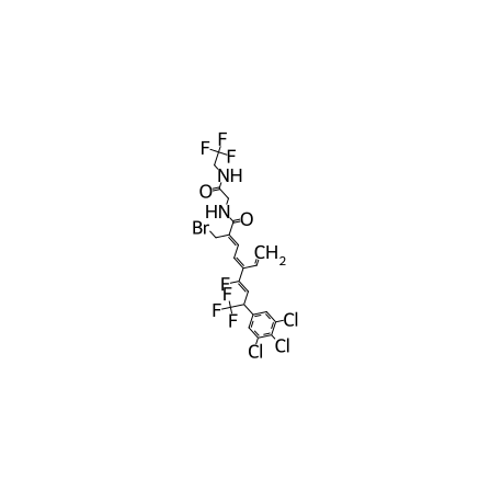 C=CC(=C\C=C(/CBr)C(=O)NCC(=O)NCC(F)(F)F)/C(F)=C/C(c1cc(Cl)c(Cl)c(Cl)c1)C(F)(F)F